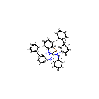 c1ccc(-c2cccc(N3c4ccccc4N(c4cccc(-c5ccccc5)c4)C34Nc3ccccc3S4)c2)cc1